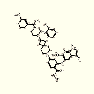 COc1cc([C@@H](C)N2CCN(C3CC4(CCN(c5ccc(C(=O)NO)c(Oc6cc7c(F)c[nH]c7nc6OC)c5)CC4)C3)[C@H](c3ccccc3C(C)C)C2)ccn1